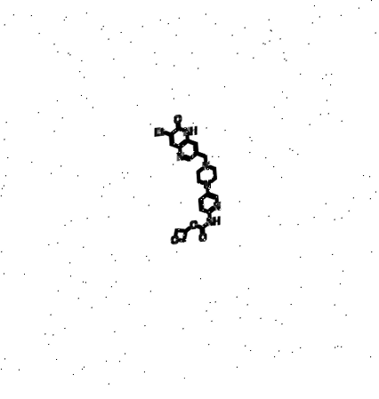 CCc1cc2ncc(CN3CCN(c4ccc(NC(=O)OC5COC5)nc4)CC3)cc2[nH]c1=O